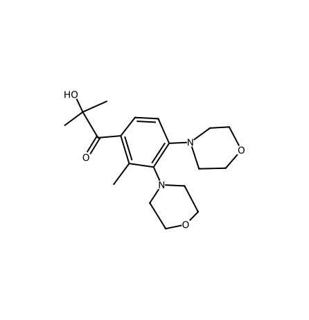 Cc1c(C(=O)C(C)(C)O)ccc(N2CCOCC2)c1N1CCOCC1